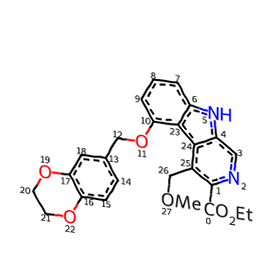 CCOC(=O)c1ncc2[nH]c3cccc(OCc4ccc5c(c4)OCCO5)c3c2c1COC